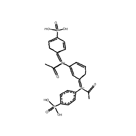 CC(=O)[N+](C1=CC(=[N+](C(C)=O)c2ccc(P(=O)(O)O)cc2)CC=C1)=C1C=CC(P(=O)(O)O)=CC1